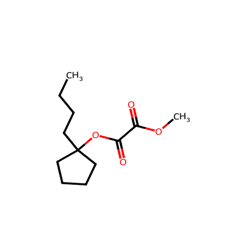 CCCCC1(OC(=O)C(=O)OC)CCCC1